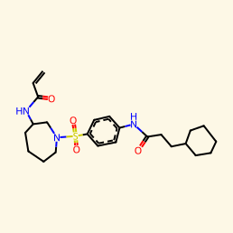 C=CC(=O)NC1CCCCN(S(=O)(=O)c2ccc(NC(=O)CCC3CCCCC3)cc2)C1